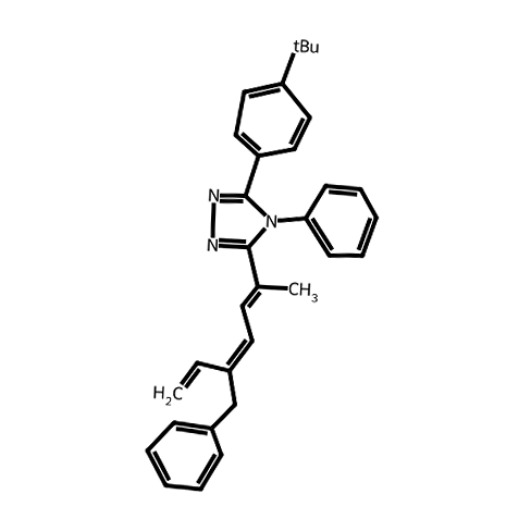 C=C/C(=C\C=C(/C)c1nnc(-c2ccc(C(C)(C)C)cc2)n1-c1ccccc1)Cc1ccccc1